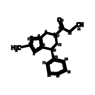 Cc1cc2c(s1)CN(C(=O)CC#N)C[C@H]2c1ccccc1